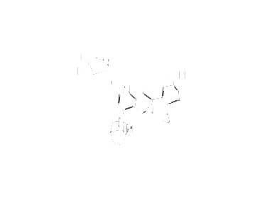 CN1CC(F)(F)C[C@H]1COc1cc(N2CC3CCC(C2)N3)c2cnc(-c3cc(O)cc(Cl)c3C3CC3)c(F)c2n1